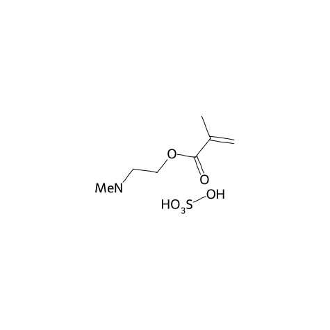 C=C(C)C(=O)OCCNC.O=S(=O)(O)O